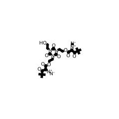 CC(C)(C)C(=O)C(=[N+]=[N-])C(=O)OCCn1c(=O)n(CCO)c(=O)n(CCOC(=O)C(=[N+]=[N-])C(=O)C(C)(C)C)c1=O